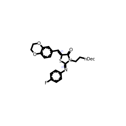 CCCCCCCCCCCCN1C(=O)/C(=C/c2ccc3c(c2)OCCO3)S/C1=N\c1ccc(F)cc1